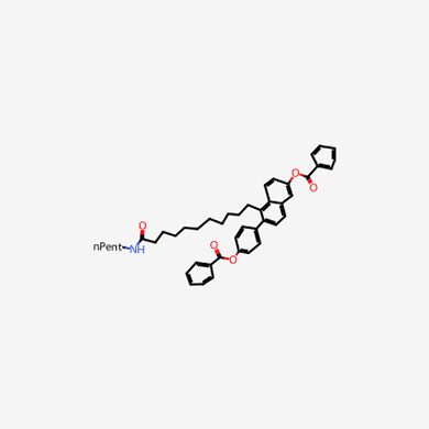 CCCCCNC(=O)CCCCCCCCCCc1c(-c2ccc(OC(=O)c3ccccc3)cc2)ccc2cc(OC(=O)c3ccccc3)ccc12